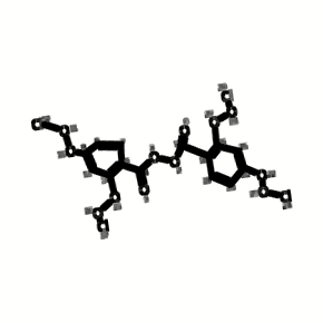 O=C(OOC(=O)c1ccc(OOCl)cc1OOCl)c1ccc(OOCl)cc1OOCl